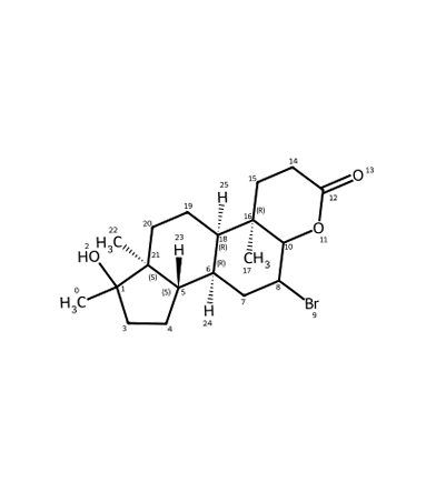 CC1(O)CC[C@H]2[C@@H]3CC(Br)C4OC(=O)CC[C@]4(C)[C@@H]3CC[C@@]21C